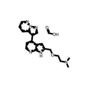 CN(C)CCOCc1cc2c(-c3cnn4ncccc34)ccnc2[nH]1.O=CO